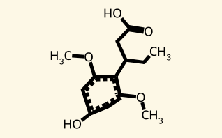 CCC(CC(=O)O)c1c(OC)cc(O)cc1OC